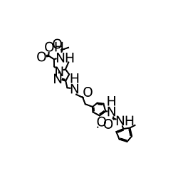 COc1cc(CC(=O)CNCC2=NN(CC(NC(C)=O)C(=O)O)C(C)C2)ccc1NC(=O)Nc1ccccc1C